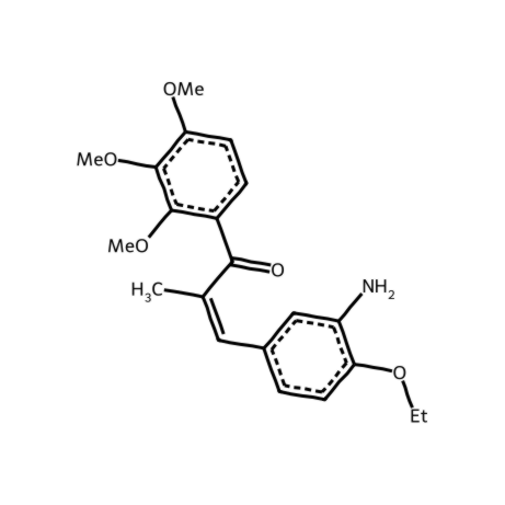 CCOc1ccc(C=C(C)C(=O)c2ccc(OC)c(OC)c2OC)cc1N